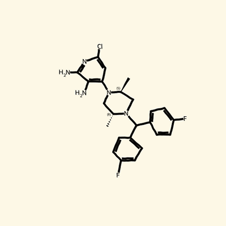 C[C@@H]1CN(c2cc(Cl)nc(N)c2N)[C@@H](C)CN1C(c1ccc(F)cc1)c1ccc(F)cc1